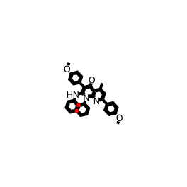 COc1ccc(-c2cc(C)c3c(=O)c(-c4ccc(OC)cc4)c(Nc4ccccc4)n(-c4ccccc4)c3n2)cc1